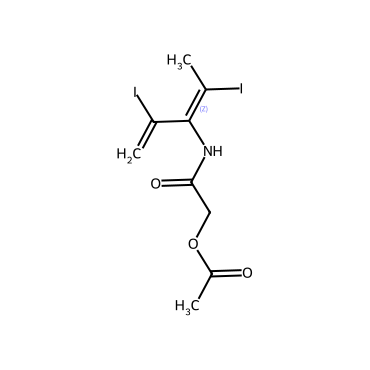 C=C(I)/C(NC(=O)COC(C)=O)=C(\C)I